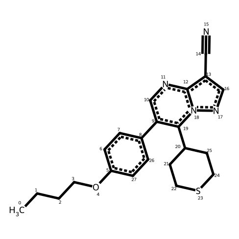 CCCCOc1ccc(-c2cnc3c(C#N)cnn3c2C2CCSCC2)cc1